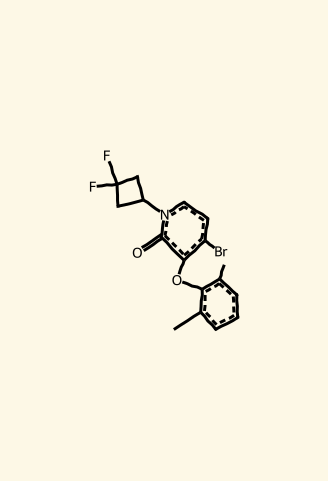 Cc1cccc(C)c1Oc1c(Br)ccn(C2CC(F)(F)C2)c1=O